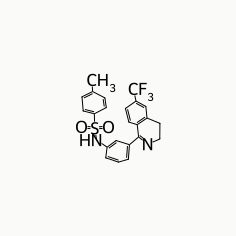 Cc1ccc(S(=O)(=O)Nc2cccc(C3=NCCc4cc(C(F)(F)F)ccc43)c2)cc1